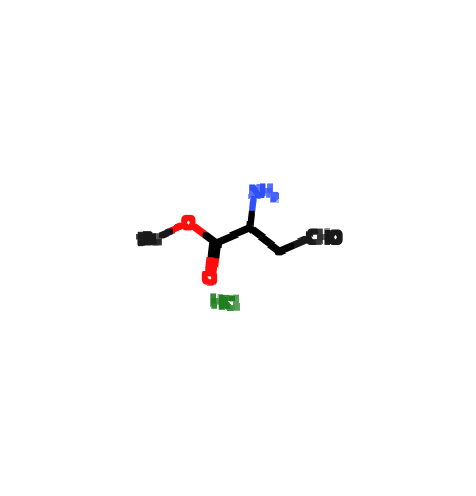 CC(C)(C)OC(=O)C(N)CC=O.Cl